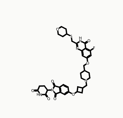 O=C1CCC(N2C(=O)c3ccc(OC4CC(CN5CCC(COc6cc(F)c7c(=O)[nH]c(CSC8CCOCC8)nc7c6)CC5)C4)cc3C2=O)C(=O)N1